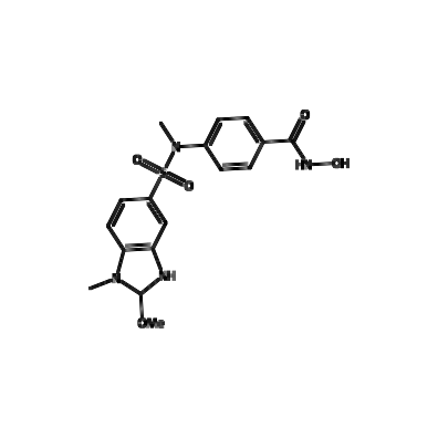 COC1Nc2cc(S(=O)(=O)N(C)c3ccc(C(=O)NO)cc3)ccc2N1C